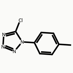 Cc1ccc(-n2nnnc2Cl)cc1